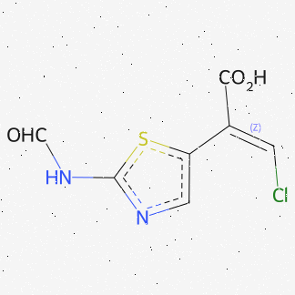 O=CNc1ncc(/C(=C\Cl)C(=O)O)s1